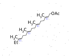 CC/C(C)=C/CC/C(C)=C/CC/C(C)=C/CC/C(C)=C/COC(C)=O